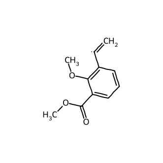 C=[C]c1cccc(C(=O)OC)c1OC